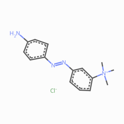 C[N+](C)(C)c1cccc(/N=N/c2ccc(N)cc2)c1.[Cl-]